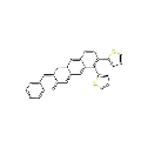 c1csc(-c2ccc3cc4cc5cc6ccccc6cc5cc4cc3c2-c2cccs2)c1